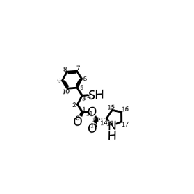 O=C(CC(S)c1ccccc1)OC(=O)[C@@H]1CCCN1